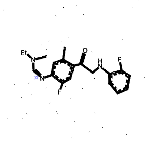 CCN(C)/C=N\c1cc(C)c(C(=O)CNc2ccccc2F)cc1F